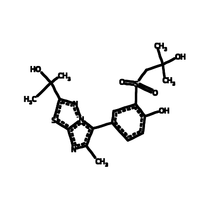 Cc1nc2sc(C(C)(C)O)nn2c1-c1ccc(O)c(S(=O)(=O)CC(C)(C)O)c1